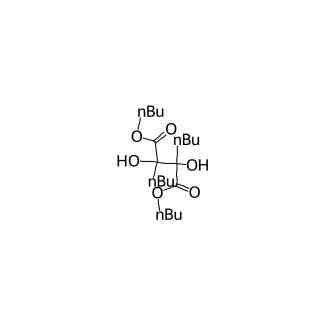 CCCCOC(=O)C(O)(CCCC)C(O)(CCCC)C(=O)OCCCC